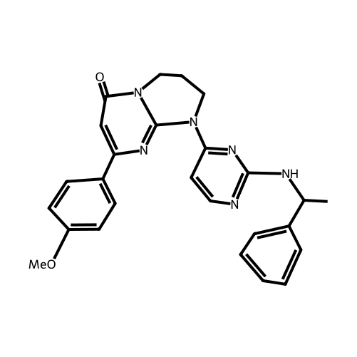 COc1ccc(-c2cc(=O)n3c(n2)N(c2ccnc(NC(C)c4ccccc4)n2)CCC3)cc1